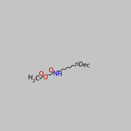 C=CC(=O)OCCC(=O)NCCCCCCCCCCCCCCCCCC